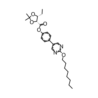 CCCCCCCCOc1ncc(-c2ccc(OC(=O)[C@@H]3OC(C)(C)O[C@@H]3CC)cc2)cn1